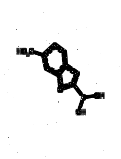 O=C(O)c1ccc2cc(B(O)O)oc2c1